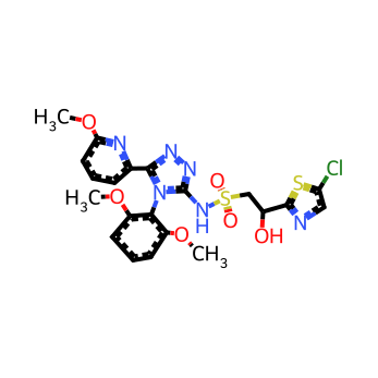 COc1cccc(-c2nnc(NS(=O)(=O)CC(O)c3ncc(Cl)s3)n2-c2c(OC)cccc2OC)n1